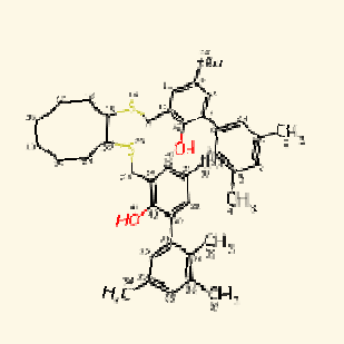 Cc1cc(C)cc(-c2cc(C(C)(C)C)cc(CSC3CCCCCCC3SCc3cc(C(C)(C)C)cc(-c4cc(C)cc(C)c4C)c3O)c2O)c1